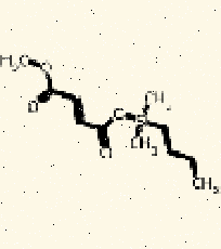 CCCC[Si](C)(C)OC(=O)/C=C/C(=O)OC